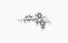 C=CC(=O)N1CCN2CCN(C(=O)CN3C[C@H]4CC(=O)N(c5cc(C(F)(F)F)cc(C)n5)[C@@H]4C(=O)N(C)c4cccc(F)c43)C[C@H]2C1